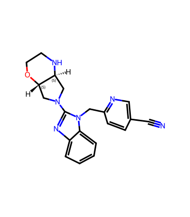 N#Cc1ccc(Cn2c(N3C[C@@H]4NCCO[C@H]4C3)nc3ccccc32)nc1